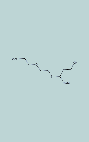 COCCOCCOC(CCC#N)OC